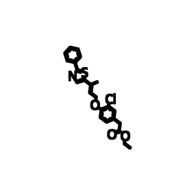 CCOC(=O)Cc1ccc(OC/C=C(\C)c2cnc(-c3ccccc3)s2)c(Cl)c1